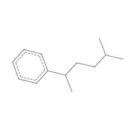 CC(C)CCC(C)c1ccccc1